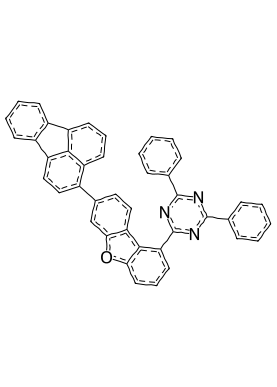 c1ccc(-c2nc(-c3ccccc3)nc(-c3cccc4oc5cc(-c6ccc7c8c(cccc68)-c6ccccc6-7)ccc5c34)n2)cc1